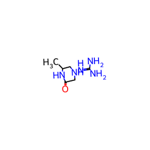 CC1CNCC(=O)N1.N=C(N)N